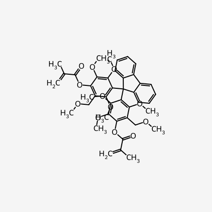 C=C(C)C(=O)Oc1c(COC)c(OC)c(C2(c3c(OC)c(COC)c(OC(=O)C(=C)C)c(OC)c3OC)c3ccccc3-c3ccccc32)c(OC)c1OC